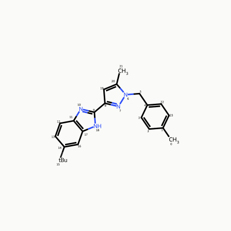 Cc1ccc(Cn2nc(-c3nc4ccc(C(C)(C)C)cc4[nH]3)cc2C)cc1